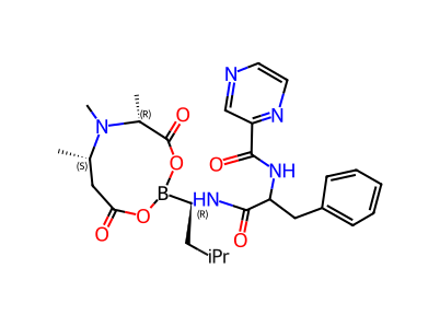 CC(C)C[C@H](NC(=O)C(Cc1ccccc1)NC(=O)c1cnccn1)B1OC(=O)C[C@H](C)N(C)[C@H](C)C(=O)O1